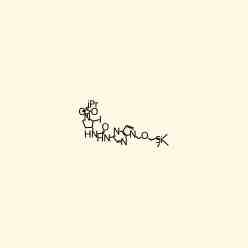 CC(C)S(=O)(=O)N1CCC(NC(=O)Nc2cnc3c(ccn3COCC[Si](C)(C)C)n2)C1I